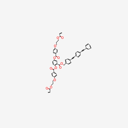 C=CC(=O)OCCCOc1ccc(C(=O)Oc2ccc(OC(=O)c3ccc(OCCCOC(=O)C=C)cc3)c(C(=O)OCc3ccc(C#Cc4ccc(C#Cc5ccccc5)cc4)cc3)c2)cc1